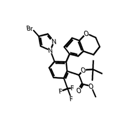 COC(=O)C(OC(C)(C)C)c1c(C(F)(F)F)ccc(-n2cc(Br)cn2)c1-c1ccc2c(c1)CCCO2